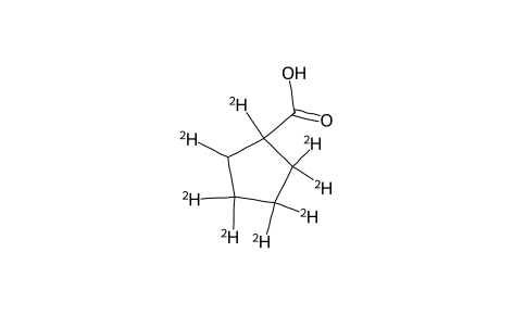 [2H]C1C([2H])([2H])C([2H])([2H])C([2H])([2H])C1([2H])C(=O)O